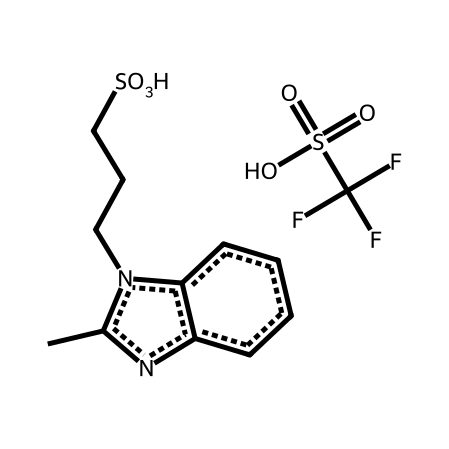 Cc1nc2ccccc2n1CCCS(=O)(=O)O.O=S(=O)(O)C(F)(F)F